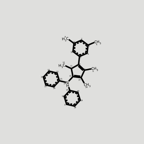 CC1=C(c2cc(C)cc(C)c2)C(C)C([SiH](c2ccccc2)c2ccccc2)=C1C